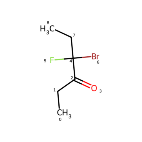 CCC(=O)C(F)(Br)CC